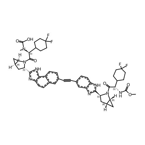 COC(=O)N[C@H](C(=O)N1[C@@H]2C[C@@H]2C[C@H]1c1nc2cc(C#Cc3ccc4c(ccc5nc([C@@H]6C[C@H]7C[C@H]7N6C(=O)[C@H](C6CCC(F)(F)CC6)N(C)C(=O)O)[nH]c54)c3)ccc2[nH]1)C1CCC(F)(F)CC1